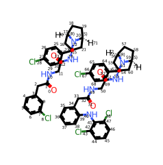 O=C(Cc1cccc(Cl)c1)NCC(=O)N[C@H]1C[C@H]2CC[C@@H](C1)N2Cc1ccc(Cl)cc1.O=C(Cc1ccccc1Nc1c(Cl)cccc1Cl)NCC(=O)N[C@H]1C[C@H]2CC[C@@H](C1)N2Cc1ccc(Cl)cc1